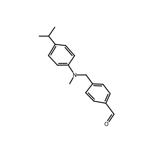 CC(C)c1ccc(N(C)Cc2ccc(C=O)cc2)cc1